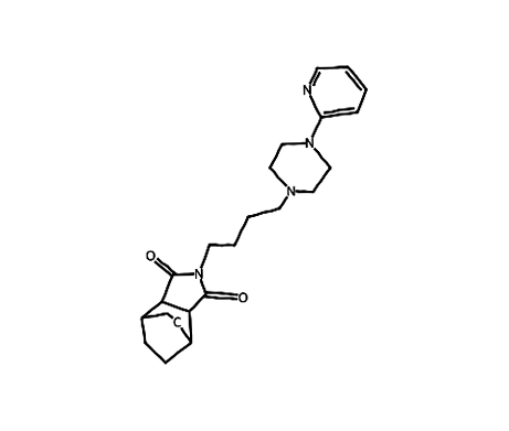 O=C1C2C3CCC(CC3)C2C(=O)N1CCCCN1CCN(c2ccccn2)CC1